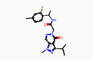 Cc1ccc(C(C)NC(=O)Cn2ncc3c(c(C(C)C)nn3C)c2=O)c(F)c1